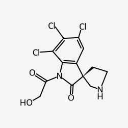 O=C(CO)N1C(=O)[C@]2(CCNC2)c2cc(Cl)c(Cl)c(Cl)c21